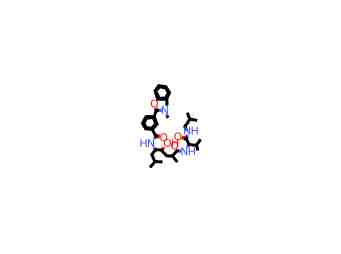 CC(C)CNC(=O)C(NC(=O)C(C)CC(O)C(CC(C)C)NC(=O)c1cccc(C(=O)N(C)Cc2ccccc2)c1)C(C)C